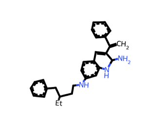 C=C(C1=Cc2ccc(NCCC(CC)Cc3ccccc3)cc2NC1N)c1ccccc1